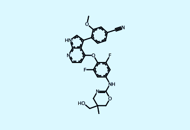 COc1cc(C#N)ccc1-c1c[nH]c2nccc(Oc3c(F)cc(NC4=NCC(C)(CO)CO4)cc3F)c12